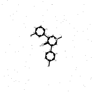 Cc1ccc(-c2cn(C)cc(-c3cccc(C)c3)c2=O)cc1